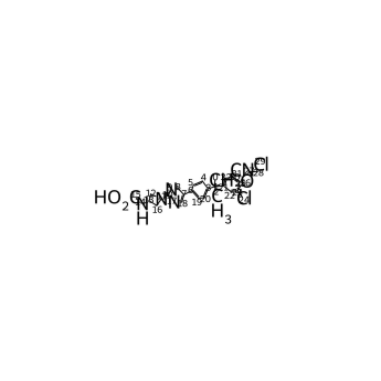 CC(C)(c1ccc(-c2cnc(N3CC(NC(=O)O)C3)nc2)cc1)c1cc(Cl)c(OCCCl)c(C#N)c1